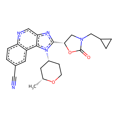 C[C@@H]1C[C@H](n2c([C@@H]3CN(CC4CC4)C(=O)O3)nc3cnc4ccc(C#N)cc4c32)CCO1